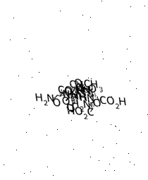 C[C@H](NC(=O)[C@H](C)NC(=O)[C@H](CCC(=O)O)NC(=O)[C@@H](N)CC(=O)O)C(=O)N[C@@H](Cc1ccccc1)C(=O)N[C@@H](CCC(N)=O)C(=O)O